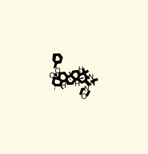 Cc1nc(N2CCOCC2)c2c(n1)C(C)(C)[C@@H]1CC[C@]3(C)[C@H](CC=C4[C@@H]5[C@@H](C)[C@H](C)CC[C@]5(C(=O)OCc5ccccc5)CC[C@]43C)[C@@]1(C)C2